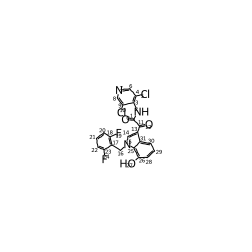 O=C(Nc1c(Cl)cncc1Cl)C(=O)c1cn(Cc2c(F)cccc2F)c2c(O)cccc12